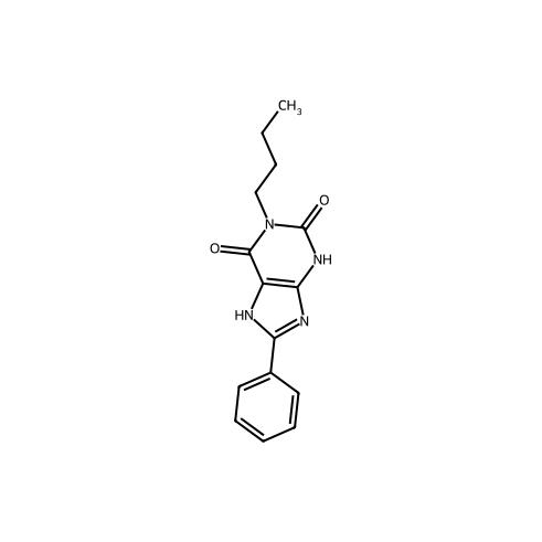 CCCCn1c(=O)[nH]c2nc(-c3ccccc3)[nH]c2c1=O